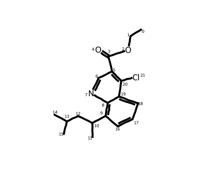 CCOC(=O)c1cnc2c(C(C)CC(C)C)cccc2c1Cl